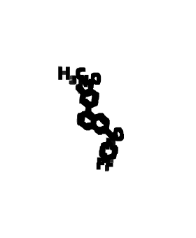 CN1Cc2cc(-c3cccc4cc(C(=O)N5CCC(F)(F)CC5)ccc34)ccc2C1=O